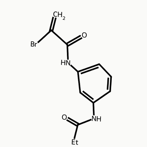 C=C(Br)C(=O)Nc1cccc(NC(=O)CC)c1